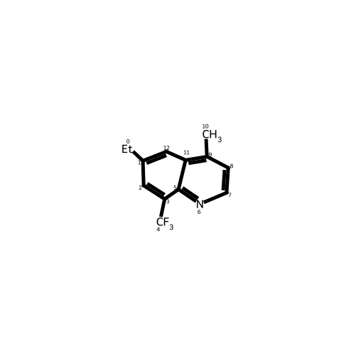 CCc1cc(C(F)(F)F)c2nccc(C)c2c1